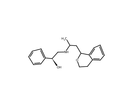 CC(CC1OCCc2ccccc21)NC[C@@H](O)c1ccccc1